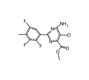 COC(=O)c1nc(-c2cc(F)c(C)c(F)c2F)nc(N)c1Cl